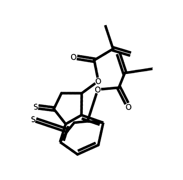 C=C(C)C(=O)OC1CC(=S)c2ccc1c1c2C(=S)CC1OC(=O)C(=C)C